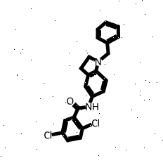 O=C(Nc1ccc2c(c1)CCN2Cc1ccccc1)c1cc(Cl)ccc1Cl